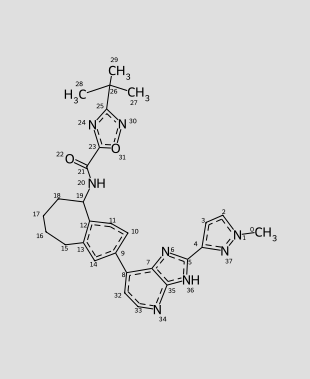 Cn1ccc(-c2nc3c(-c4ccc5c(c4)CCCCC5NC(=O)c4nc(C(C)(C)C)no4)ccnc3[nH]2)n1